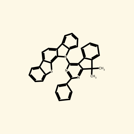 CC1(C)c2ccccc2-c2c(-n3c4ccccc4c4ccc5c6ccccc6sc5c43)nc(-c3ccccc3)nc21